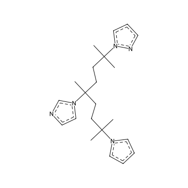 CC(C)(CCC(C)(CCC(C)(C)n1cccn1)n1ccnc1)n1cccc1